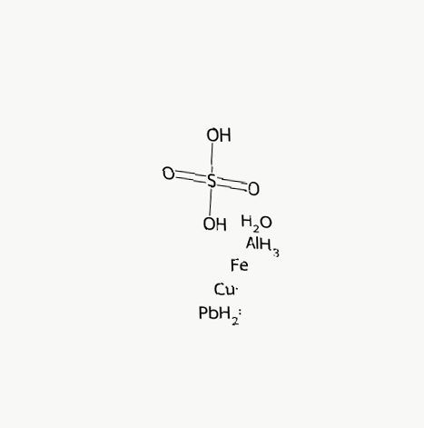 O.O=S(=O)(O)O.[AlH3].[Cu].[Fe].[PbH2]